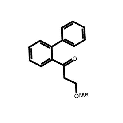 COCCC(=O)c1ccccc1-c1ccccc1